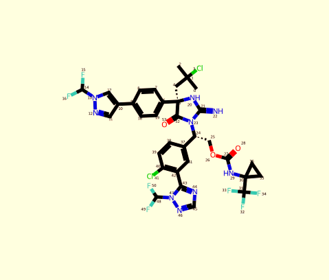 CC(C)(Cl)C[C@]1(c2ccc(-c3cnn(C(F)F)c3)cc2)NC(=N)N([C@H](COC(=O)NC2(C(F)(F)F)CC2)c2ccc(Cl)c(-c3ncnn3C(F)F)c2)C1=O